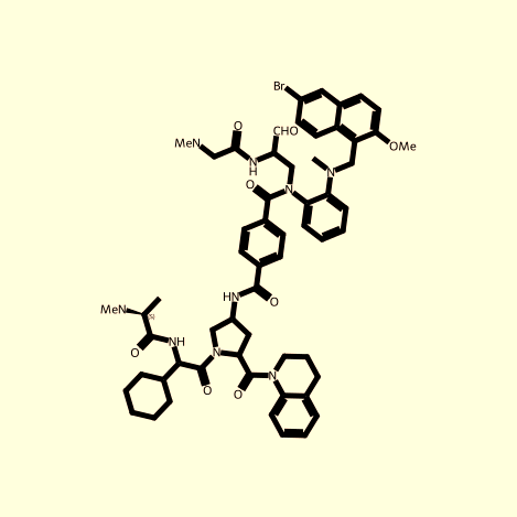 CNCC(=O)NC(C=O)CN(C(=O)c1ccc(C(=O)NC2CC(C(=O)N3CCCc4ccccc43)N(C(=O)C(NC(=O)[C@H](C)NC)C3CCCCC3)C2)cc1)c1ccccc1N(C)Cc1c(OC)ccc2cc(Br)ccc12